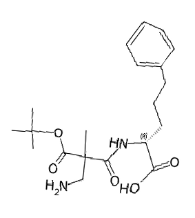 CC(C)(C)OC(=O)C(C)(CN)C(=O)N[C@H](CCCc1ccccc1)C(=O)O